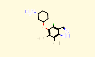 Cc1c(O[C@@H]2CCC[C@H](N)C2)c(Cl)c2cn[nH]c2c1C